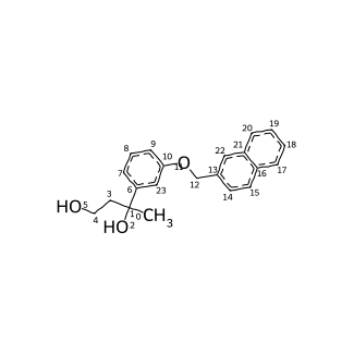 CC(O)(CCO)c1cccc(OCc2ccc3ccccc3c2)c1